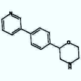 c1cncc(-c2ccc(C3CNCCO3)cc2)c1